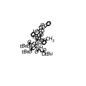 Cc1ccccc1C[C@H](NC(=O)[C@H](CCC(=O)OC(C)(C)C)NC(=O)[C@H](CC(=O)OC(C)(C)C)NC(=O)CCC(=O)OC(C)(C)C)C(=O)N[C@H](C(=O)N[C@@H](CC(C)C)C(=O)OCc1ccccc1)c1ccccc1